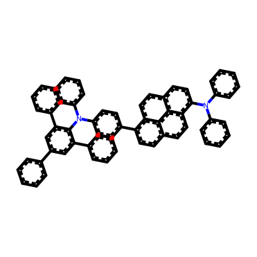 c1ccc(-c2cc(-c3ccccc3)c(N(c3ccccc3)c3ccc(-c4ccc5ccc6c(N(c7ccccc7)c7ccccc7)ccc7ccc4c5c76)cc3)c(-c3ccccc3)c2)cc1